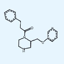 O=C(CCc1ccccc1)N1CCNCC1COc1cccnc1